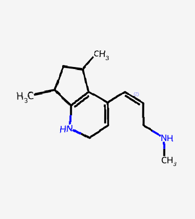 CNC/C=C\C1=CCNC2=C1C(C)CC2C